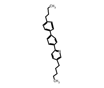 CCCCCc1ccc(-c2ccc(-c3ccc(CCCC)cc3)cc2)nc1